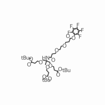 CC(C)(C)OC(=O)CCOCC(COCCC(=O)OC(C)(C)C)(COCCC(=O)OC(C)(C)C)NC(=O)CCOCCOCCC(=O)Oc1c(F)c(F)c(F)c(F)c1F